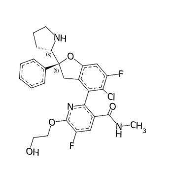 CNC(=O)c1cc(F)c(OCCO)nc1-c1c(Cl)c(F)cc2c1C[C@](c1ccccc1)([C@@H]1CCCN1)O2